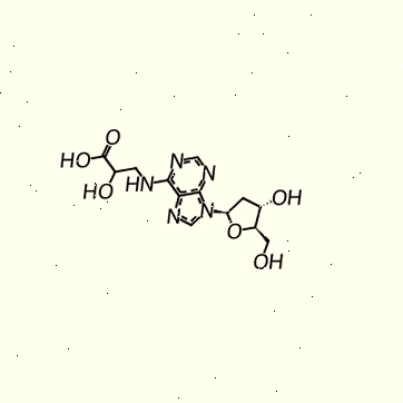 O=C(O)C(O)CNc1ncnc2c1ncn2[C@H]1C[C@H](O)[C@@H](CO)O1